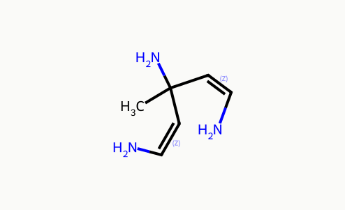 CC(N)(/C=C\N)/C=C\N